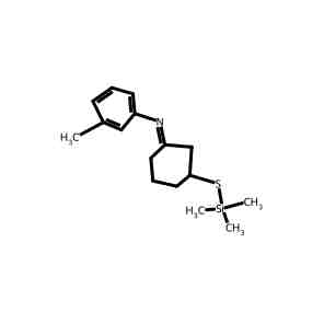 Cc1cccc(N=C2CCCC(S[Si](C)(C)C)C2)c1